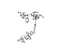 COc1cc(-c2cn(C)c(=O)c3cnccc23)cc(OC)c1CN(C)CCCCN1CC2(CC(Oc3ccc4c(c3)C(=O)N(C3CCC(=O)NC3=O)C4=O)C2)C1